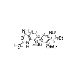 C=CNc1c(C(N)=O)ccc(-c2cc3c(c(OC)c2)CC(CC)C=N3)c1C(C)CC